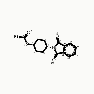 CCC(=O)S[C@H]1CC[C@H](N2C(=O)c3ccccc3C2=O)CC1